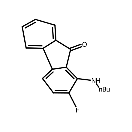 CCCCNc1c(F)ccc2c1C(=O)c1ccccc1-2